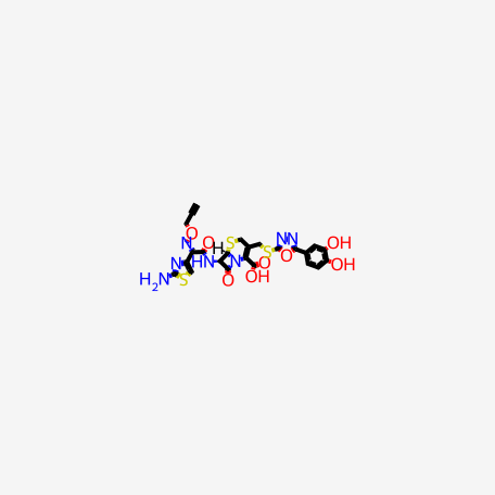 C#CCO/N=C(\C(=O)N[C@@H]1C(=O)N2C(C(=O)O)=C(CSc3nnc(-c4ccc(O)c(O)c4)o3)CS[C@H]12)c1csc(N)n1